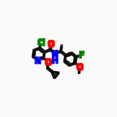 COc1ccc(C(C)NC(=O)c2c(Cl)ccnc2OCC2CC2)cc1F